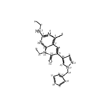 CCNc1nc(C)c2cc(-c3cnn(Cc4ccccc4)c3)c(=O)n(CC)c2n1